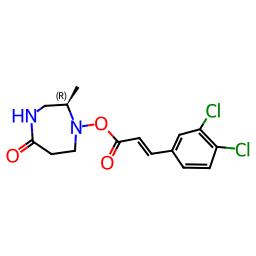 C[C@@H]1CNC(=O)CCN1OC(=O)C=Cc1ccc(Cl)c(Cl)c1